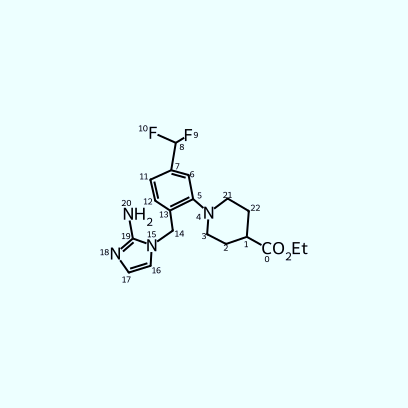 CCOC(=O)C1CCN(c2cc(C(F)F)ccc2Cn2ccnc2N)CC1